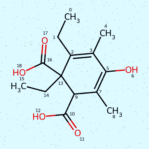 CCC1=C(C)C(O)=C(C)C(C(=O)O)C1(CC)C(=O)O